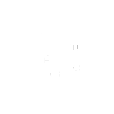 CC(C)=C(C)[SiH]1CCCCO1